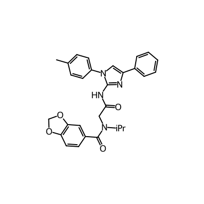 Cc1ccc(-n2cc(-c3ccccc3)nc2NC(=O)CN(C(=O)c2ccc3c(c2)OCO3)C(C)C)cc1